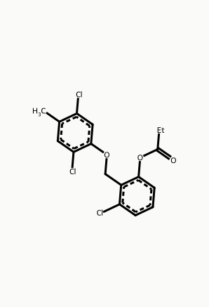 CCC(=O)Oc1cccc(Cl)c1COc1cc(Cl)c(C)cc1Cl